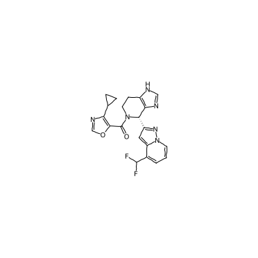 O=C(c1ocnc1C1CC1)N1CCc2[nH]cnc2[C@@H]1c1cc2c(C(F)F)cccn2n1